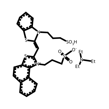 CCN(CC)CC.O=S(=O)([O-])CCC[n+]1c(/C=C2\Sc3ccccc3N2CCCS(=O)(=O)O)sc2ccc3ccccc3c21